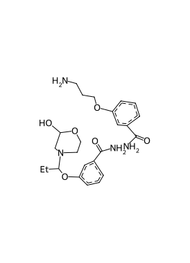 CCC(Oc1cccc(C(N)=O)c1)N1CCOC(O)C1.NCCCOc1cccc(C(N)=O)c1